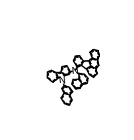 c1cc2c(c(N(c3ccc4c5ccccc5n(-c5ccc6ccccc6c5)c4c3)c3cccc4ccccc34)c1)-c1cccc3cc4ccccc4c-2c13